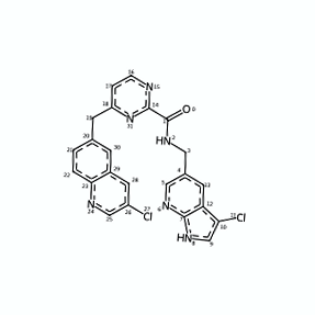 O=C(NCc1cnc2[nH]cc(Cl)c2c1)c1nccc(Cc2ccc3ncc(Cl)cc3c2)n1